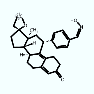 CO[C@@]1(CCl)CC[C@H]2[C@@H]3CCC4=CC(=O)CCC4=C3[C@@H](c3ccc(/C=N\O)cc3)C[C@@]21C